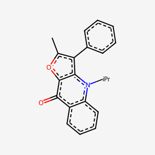 Cc1oc2c(=O)c3ccccc3n(C(C)C)c2c1-c1ccccc1